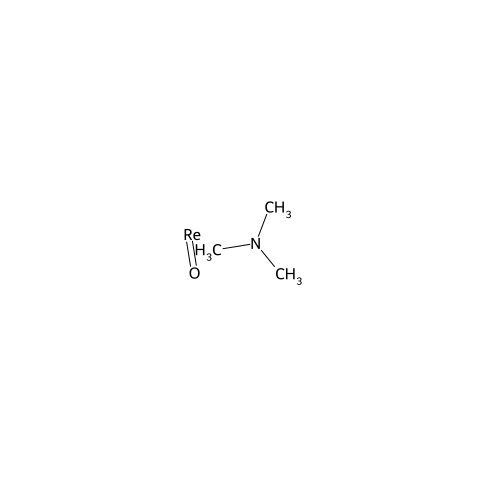 CN(C)C.[O]=[Re]